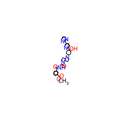 COC(=O)c1cccc(C(=O)NCC(=O)N2CCC3C2CCN3C2CCC(O)(c3ccc(-c4ncccn4)cn3)CC2)c1